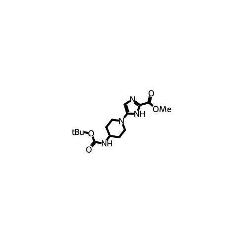 COC(=O)c1ncc(N2CCC(NC(=O)OC(C)(C)C)CC2)[nH]1